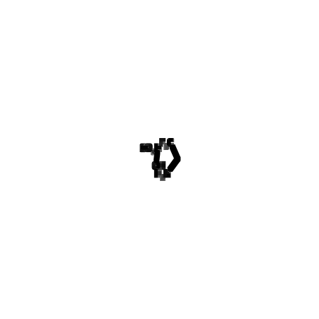 NCC(F)(F)F.O=S(=O)(O)O